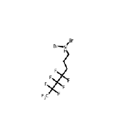 FC(F)(F)C(F)(F)C(F)(F)C(F)(F)CCC[SiH](Br)Br